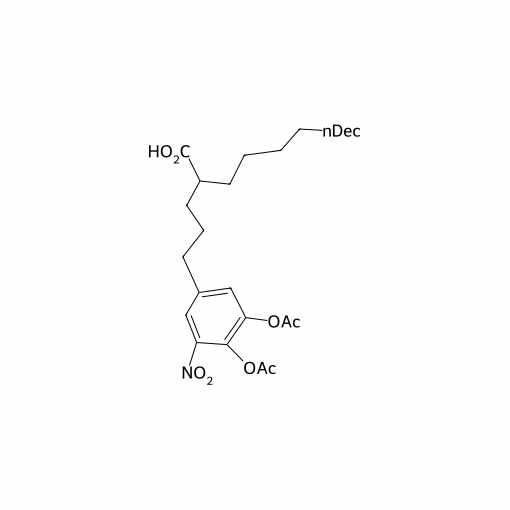 CCCCCCCCCCCCCCC(CCCc1cc(OC(C)=O)c(OC(C)=O)c([N+](=O)[O-])c1)C(=O)O